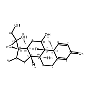 CC1C[C@H]2[C@@H]3CCC4=CC(=O)C=C[C@]4(C)[C@@]3(F)C(O)C[C@]2(C)[C@]12OC2(O)CO